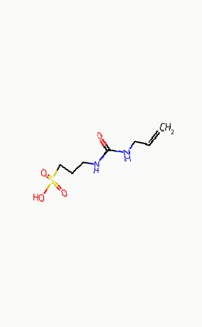 C=CCNC(=O)NCCCS(=O)(=O)O